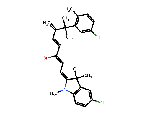 C=C(/C=C/C(Br)=C/C=C1/N(C)c2ccc(Cl)cc2C1(C)C)C(C)(C)c1cc(Cl)ccc1C